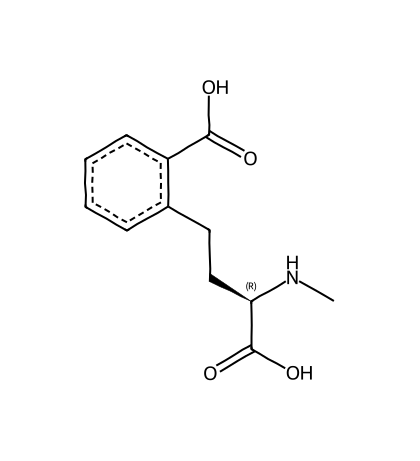 CN[C@H](CCc1ccccc1C(=O)O)C(=O)O